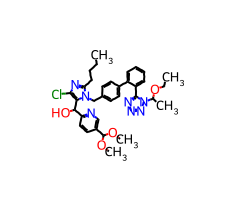 CCCCc1nc(Cl)c(C(O)c2ccc(C(OC)OC)cn2)n1Cc1ccc(-c2ccccc2-c2nnnn2C(C)OCC)cc1